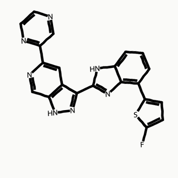 Fc1ccc(-c2cccc3[nH]c(-c4n[nH]c5cnc(-c6cnccn6)cc45)nc23)s1